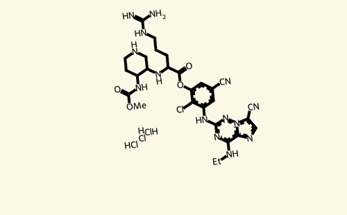 CCNc1nc(Nc2cc(C#N)cc(OC(=O)C(CCCNC(=N)N)NC3CNCCC3NC(=O)OC)c2Cl)nn2c(C#N)cnc12.Cl.Cl.Cl